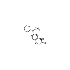 CN(c1ncc2c(n1)NC(=O)CO2)C1CCCCC1